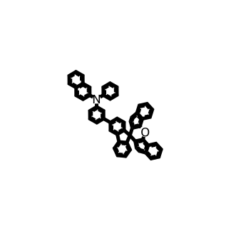 c1ccc(N(c2cccc(-c3ccc4c(c3)-c3ccccc3C43c4ccc5ccccc5c4Oc4c3ccc3ccccc43)c2)c2ccc3ccccc3c2)cc1